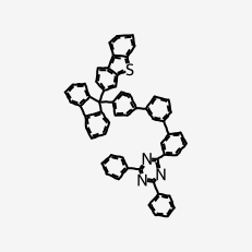 c1ccc(-c2nc(-c3ccccc3)nc(-c3cccc(-c4cccc(-c5ccc(C6(c7ccc8c(c7)sc7ccccc78)c7ccccc7-c7ccccc76)cc5)c4)c3)n2)cc1